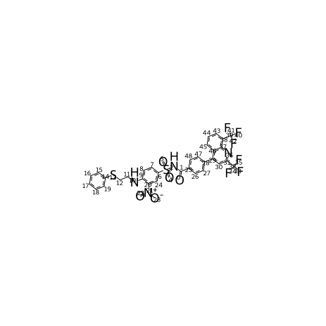 O=C(NS(=O)(=O)c1ccc(NCCSc2ccccc2)c([N+](=O)[O-])c1)c1ccc(-c2cc(C(F)(F)F)nc3c(C(F)(F)F)cccc23)cc1